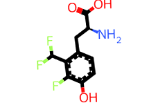 N[C@@H](Cc1ccc(O)c(F)c1C(F)F)C(=O)O